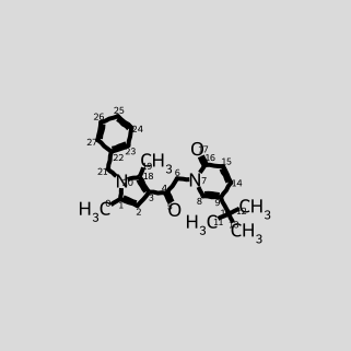 Cc1cc(C(=O)Cn2cc(C(C)(C)C)ccc2=O)c(C)n1Cc1ccccc1